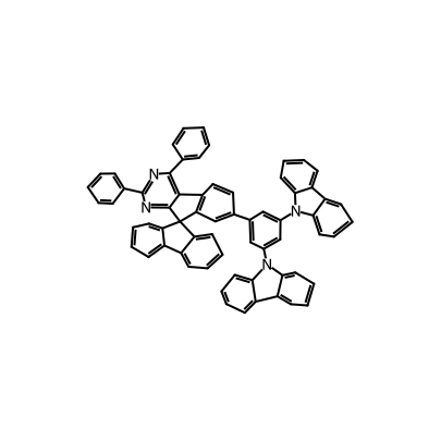 c1ccc(-c2nc(-c3ccccc3)c3c(n2)C2(c4ccccc4-c4ccccc42)c2cc(-c4cc(-n5c6ccccc6c6ccccc65)cc(-n5c6ccccc6c6ccccc65)c4)ccc2-3)cc1